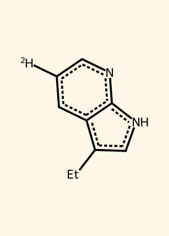 [2H]c1cnc2[nH]cc(CC)c2c1